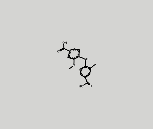 COc1cc(C(=O)O)ccc1Nc1ccc(C(=O)O)cc1C